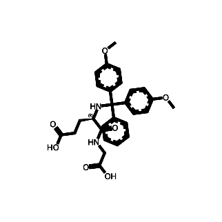 COc1ccc(C(N[C@H](CCC(=O)O)C(=O)NCC(=O)O)(c2ccccc2)c2ccc(OC)cc2)cc1